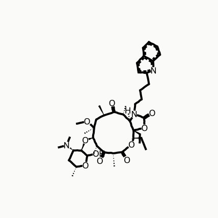 CC[C@H]1OC(=O)[C@H](C)C(=O)[C@H](C)[C@@H](O[C@H]2C(O)O[C@H](C)C[C@@H]2N(C)C)[C@@](C)(OC)C[C@@H](C)C(=O)[C@H](C)[C@H]2N(CCCCc3ccc4ccccc4n3)C(=O)O[C@]12CC